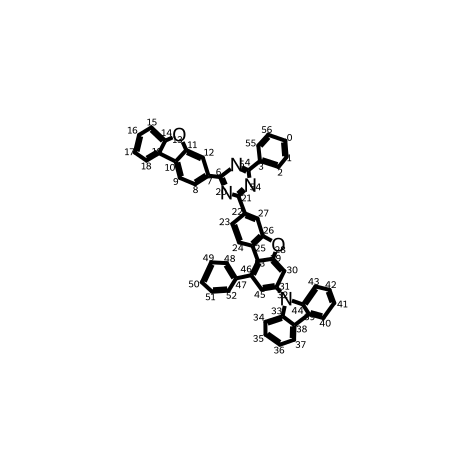 c1ccc(-c2nc(-c3ccc4c(c3)oc3ccccc34)nc(-c3ccc4c(c3)oc3cc(-n5c6ccccc6c6ccccc65)cc(-c5ccccc5)c34)n2)cc1